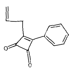 C=CCc1c(-c2ccccc2)c(=O)c1=O